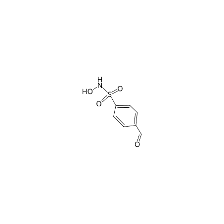 O=Cc1ccc(S(=O)(=O)NO)cc1